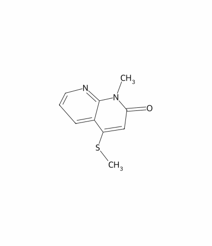 CSc1cc(=O)n(C)c2ncccc12